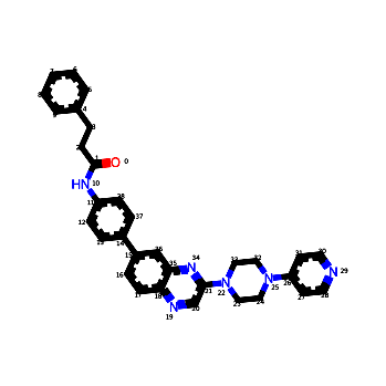 O=C(CCc1ccccc1)Nc1ccc(-c2ccc3ncc(N4CCN(c5ccncc5)CC4)nc3c2)cc1